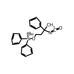 CC(CCO[Si](c1ccccc1)(c1ccccc1)C(C)(C)C)(N=C=O)c1ccccc1